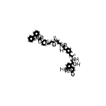 C[C@H](Cc1cccc(CC(=O)NCCCN(C)C(=O)CCN2CCC(OC(=O)Nc3ccccc3-c3ccccc3)CC2)c1)NC[C@H](O)c1ccc(O)c2[nH]c(=O)ccc12